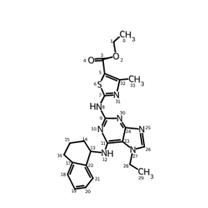 CCOC(=O)c1sc(Nc2nc(NC3CCCc4ccccc43)c3c(ncn3CC)n2)nc1C